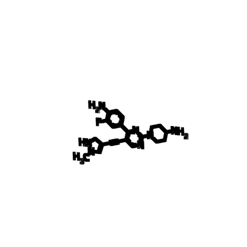 CN1C=C(C#Cc2cnc(N3CCC(N)CC3)nc2-c2ccc(N)c(F)c2)CN1